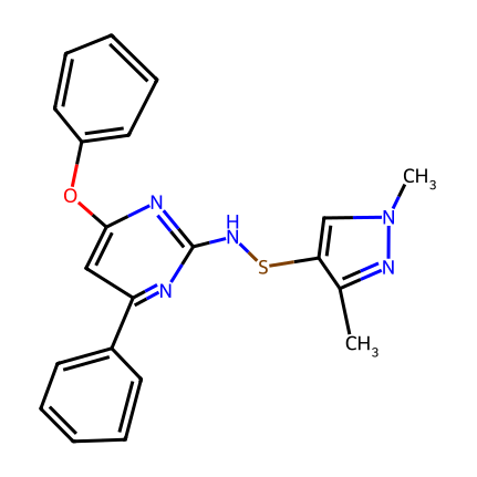 Cc1nn(C)cc1SNc1nc(Oc2ccccc2)cc(-c2ccccc2)n1